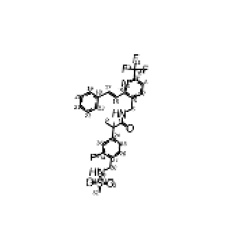 CC(C(=O)NCc1ccc(C(F)(F)F)nc1C=Cc1ccccc1)c1ccc(CNS(C)(=O)=O)c(F)c1